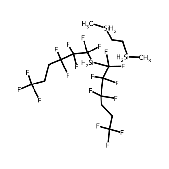 C[SiH2]CC[SiH2]C.FC(F)(F)CCC(F)(F)C(F)(F)C(F)(F)[SiH2]C(F)(F)C(F)(F)C(F)(F)CCC(F)(F)F